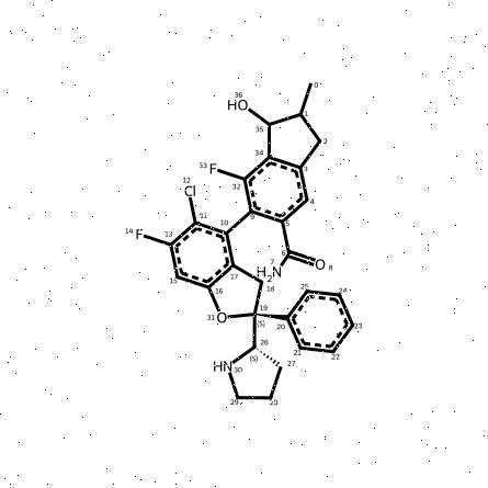 CC1Cc2cc(C(N)=O)c(-c3c(Cl)c(F)cc4c3C[C@](c3ccccc3)([C@@H]3CCCN3)O4)c(F)c2C1O